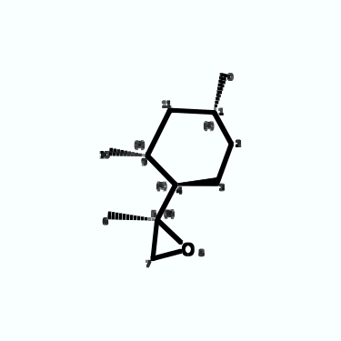 C[C@@H]1CC[C@@H]([C@]2(C)CO2)[C@H](C)C1